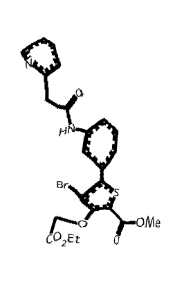 CCOC(=O)COc1c(C(=O)OC)sc(-c2cccc(NC(=O)Cc3ccccn3)c2)c1Br